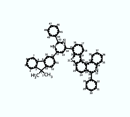 CC1(C)c2ccccc2-c2cc(-c3cc(-c4cccc5c4sc4ccc6c(-c7ccccc7)nc7ccccc7c6c45)nc(-c4ccccc4)n3)ccc21